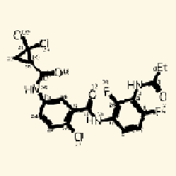 CCC(=O)Nc1c(F)ccc(NC(=O)c2cc(NC(=O)[C@H]3CC3(Cl)Cl)ccc2Cl)c1F